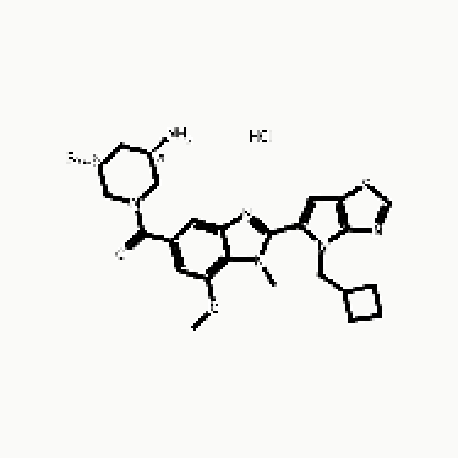 COc1cc(C(=O)N2C[C@H](N)C[C@@H](F)C2)cc2nc(-c3cc4scnc4n3CC3CCC3)n(C)c12.Cl